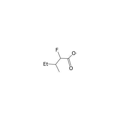 CCC(C)C(F)C([O])=O